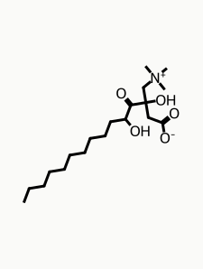 CCCCCCCCCCC(O)C(=O)C(O)(CC(=O)[O-])C[N+](C)(C)C